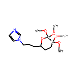 CCCO[Si]1(OCCC)CCC(CCCn2ccnc2)O[Si]1(OCCC)OCCC